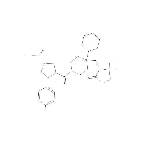 CN(C)[C@@H]1CC(C(=O)N2CCC(CN3C(=O)OCC3(C)C)(C3CCCCC3)CC2)[C@H](c2ccc(Cl)cc2)C1